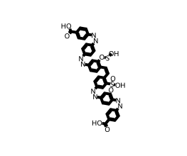 O=C(O)c1ccc(/N=N\c2ccc(/N=N\c3ccc(/C=C\c4ccc(/N=N\c5ccc(/N=N\c6ccc(C(=O)O)cc6)cc5)cc4S(=O)(=O)O)c(OSO)c3)cc2)cc1